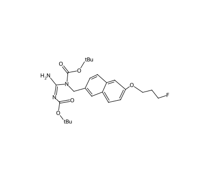 CC(C)(C)OC(=O)/N=C(/N)N(Cc1ccc2cc(OCCCF)ccc2c1)C(=O)OC(C)(C)C